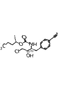 CCCC(I)OC(=O)N[C@@H](Cc1ccc(C#N)cc1)[C@H](O)CCl